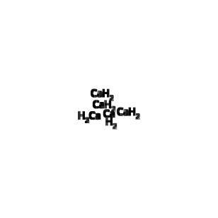 [CaH2].[CaH2].[CaH2].[CaH2].[CaH2]